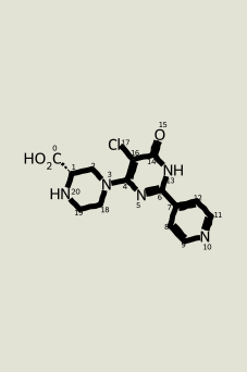 O=C(O)[C@@H]1CN(c2nc(-c3ccncc3)[nH]c(=O)c2Cl)CCN1